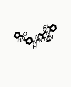 O=C(Nc1ccc(Nc2ncc3c(=O)n(-c4ccccc4Cl)c4nccn4c3n2)cc1)C1CCCC1